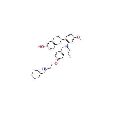 CCCN(Cc1ccc(OCCNCC2CCCCC2)cc1)c1cc(OC)ccc1C1CCc2cc(O)ccc2C1